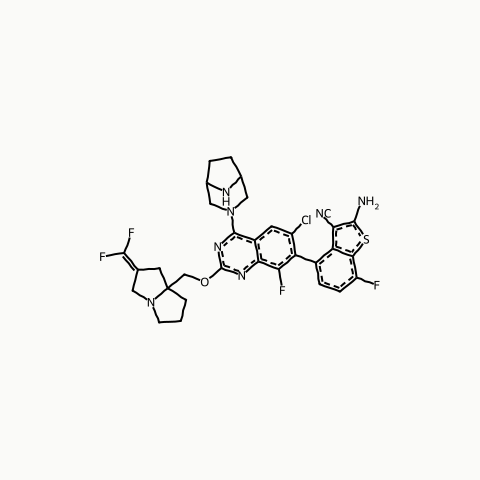 N#Cc1c(N)sc2c(F)ccc(-c3c(Cl)cc4c(N5CC6CCC(C5)N6)nc(OCC56CCCN5CC(=C(F)F)C6)nc4c3F)c12